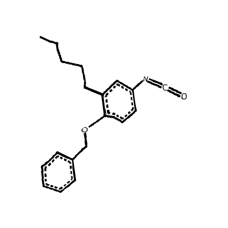 CCCCCc1cc(N=C=O)ccc1OCc1ccccc1